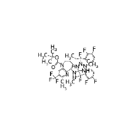 CCC(F)(c1cccc(F)c1F)N1NC(NC2CCCN(C(=O)OC(C)(C)C)c3cc(C(F)(F)F)c(C)nc32)(C(F)(CC)c2cccc(F)c2F)NN1C